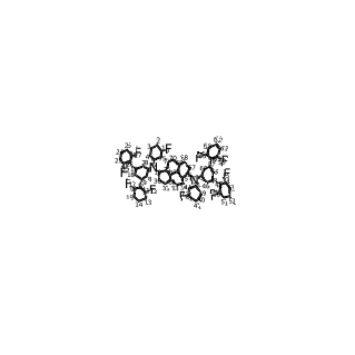 Fc1cccc(N(c2cc(-c3c(F)cccc3F)cc(-c3c(F)cccc3F)c2)c2ccc3ccc4c(N(c5cccc(F)c5)c5cc(-c6c(F)cccc6F)cc(-c6c(F)cccc6F)c5)ccc5ccc2c3c54)c1